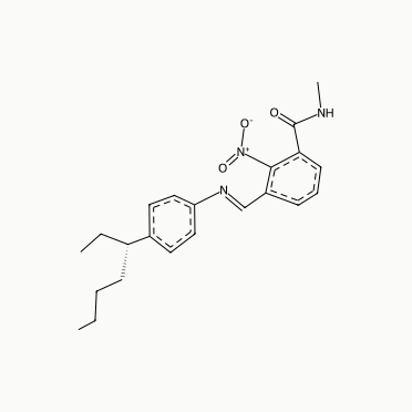 CCCC[C@H](CC)c1ccc(/N=C/c2cccc(C(=O)NC)c2[N+](=O)[O-])cc1